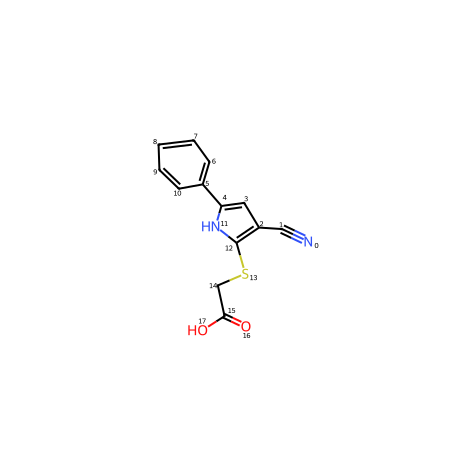 N#Cc1cc(-c2ccccc2)[nH]c1SCC(=O)O